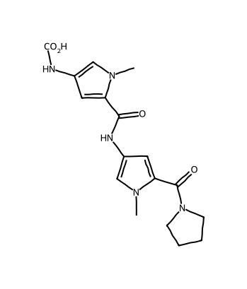 Cn1cc(NC(=O)O)cc1C(=O)Nc1cc(C(=O)N2CCCC2)n(C)c1